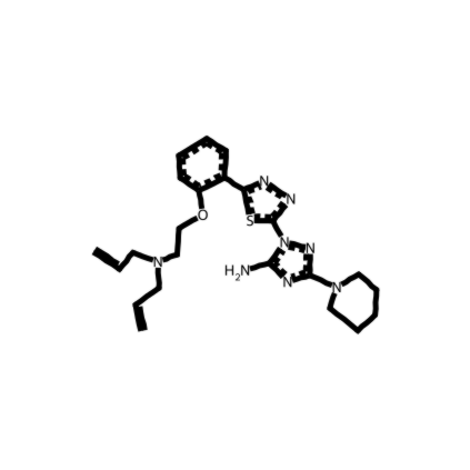 C=CCN(CC=C)CCOc1ccccc1-c1nnc(-n2nc(N3CCCCC3)nc2N)s1